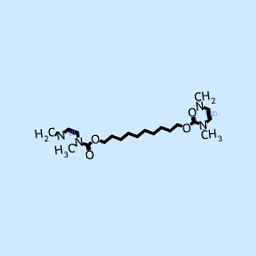 C=N/C=C\N(C)C(=O)OCCCCCCCCCCOC(=O)N(C)/C=C\N=C